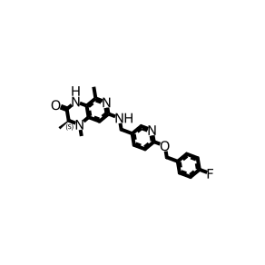 Cc1nc(NCc2ccc(OCc3ccc(F)cc3)nc2)cc2c1NC(=O)[C@H](C)N2C